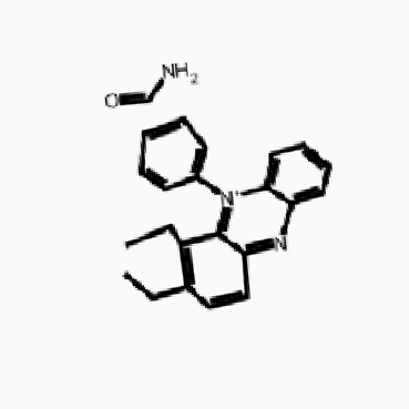 CCc1ccc2nc3ccccc3[n+](-c3ccccc3)c2c1CC.NC=O